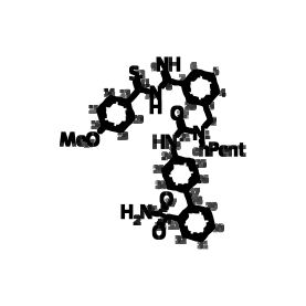 CCCCCN(Cc1cccc(C(=N)NC(=S)c2ccc(OC)cc2)c1)C(=O)Nc1ccc(-c2ccccc2S(N)(=O)=O)cc1